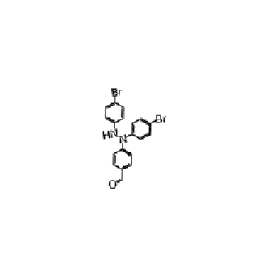 O=Cc1ccc(N(Nc2ccc(Br)cc2)c2ccc(Br)cc2)cc1